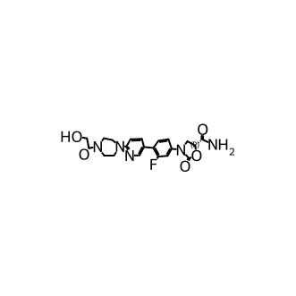 NC(=O)[C@H]1CN(c2ccc(-c3ccc(N4CCN(C(=O)CO)CC4)nc3)c(F)c2)C(=O)O1